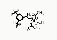 CO[Si](CCCc1cc(C(F)(F)F)cc(C(F)(F)F)c1)(OC(C)C)OC(C)C